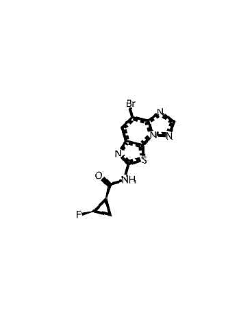 O=C(Nc1nc2cc(Br)c3ncnn3c2s1)[C@H]1C[C@H]1F